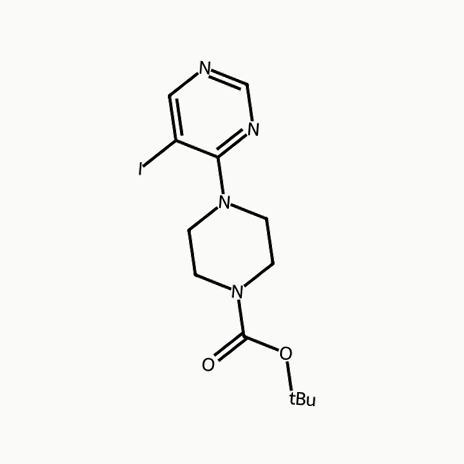 CC(C)(C)OC(=O)N1CCN(c2ncncc2I)CC1